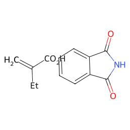 C=C(CC)C(=O)O.O=C1NC(=O)c2ccccc21